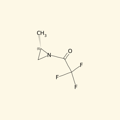 C[C@H]1CN1C(=O)C(F)(F)F